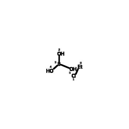 CCCl.OB(O)O